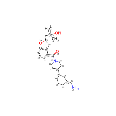 C[Si](C)(O)CC1Cc2c(cccc2C(=O)N2CCC(C3CCCC(CN)C3)CC2)O1